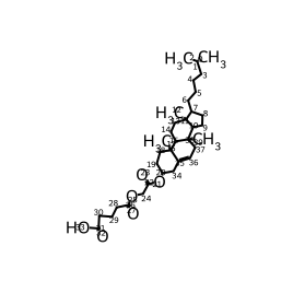 CC(C)CCCCC1CCC2C1(C)CCC1C3(C)CCC(OC(=O)COC(=O)CCCC(=O)O)CC3=CCC12C